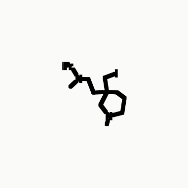 CC(C)N(C)CCC1(CI)CCCN(C)C1